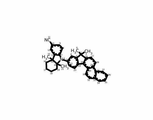 CC1(C)c2cc(N3c4ccc(C#N)cc4C4(C)CCCCC34C)ccc2-c2c1ccc1c2ccc2ccccc21